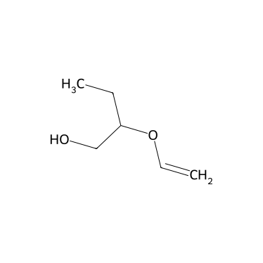 C=COC(CC)CO